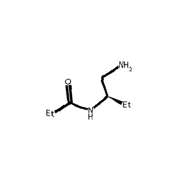 CCC(=O)N[C@H](CC)CN